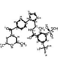 CC1CN(C(=O)c2ccc(-n3ncnc3[C@H](C)NC(=O)c3cc(C(F)(F)F)cc(S(C)(=O)=O)c3)nc2)CC(C)O1